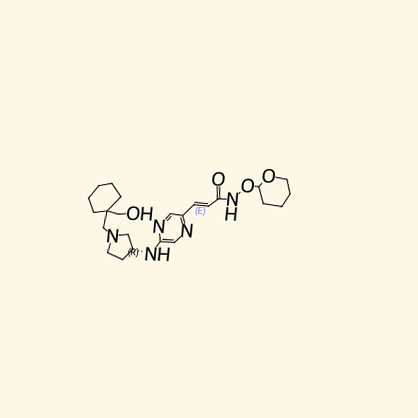 O=C(/C=C/c1cnc(N[C@@H]2CCN(CC3(CO)CCCCC3)C2)cn1)NOC1CCCCO1